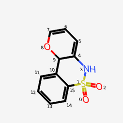 O=S1(=O)NC2=CC=COC2c2ccccc21